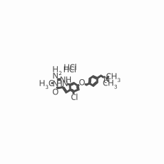 CN(C)Cc1ccc(COc2cc(Cl)c3cc(C(=O)N(C)C(=N)N)[nH]c3c2)cc1.Cl.Cl